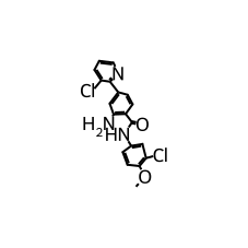 COc1ccc(NC(=O)c2ccc(-c3ncccc3Cl)cc2N)cc1Cl